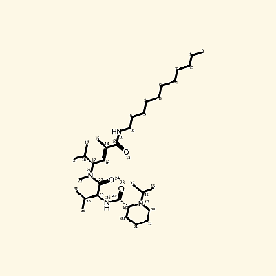 CCCCCCCCCCCNC(=O)/C(C)=C/[C@H](C(C)C)N(C)C(=O)[C@@H](NC(=O)[C@H]1CCCCN1C(C)C)C(C)C